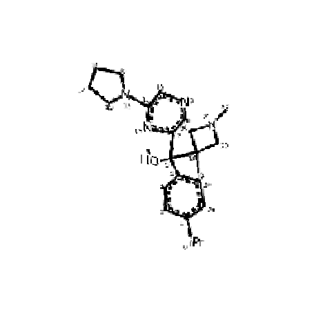 CC(C)c1ccc(C(O)(c2cncc(N3CCCC3)n2)C2(C)CN(C)C2)cc1